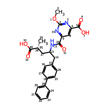 COc1nc(C(=O)O)cc(C(=O)NC(Cc2ccc(-c3ccccc3)cc2)C[C@@H](C)C(=O)O)n1